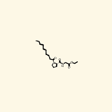 CCCCCCCCCC(=O)N1CCC[C@H]1C(=O)NCC(=O)OCC